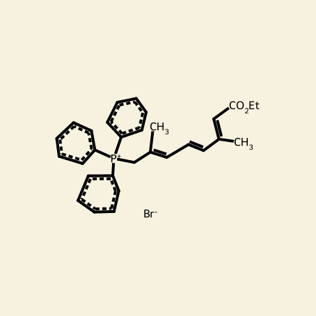 CCOC(=O)C=C(C)C=CC=C(C)C[P+](c1ccccc1)(c1ccccc1)c1ccccc1.[Br-]